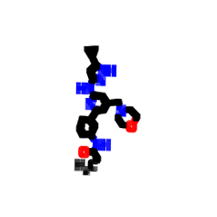 C=CC(=O)Nc1cccc(-c2cc(CN3CCOCC3)cc(Nc3cc(C4CC4)[nH]n3)n2)c1